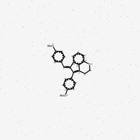 COc1ccc(C=C2C(c3ccc(OC)cc3)=C3CCOc4cccc2c43)cc1